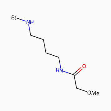 CCNCCCCNC(=O)COC